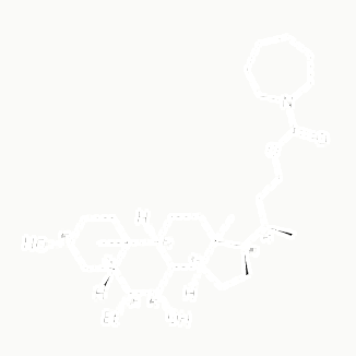 CC[C@H]1[C@@H](O)C2[C@@H]3CC[C@H]([C@H](C)CCOC(=O)N4CCCCCC4)C3(C)CC[C@@H]2C2(C)CC[C@@H](O)C[C@@H]12